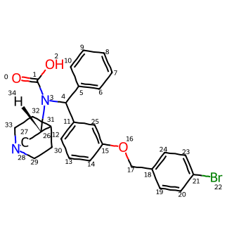 O=C(O)N(C(c1ccccc1)c1cccc(OCc2ccc(Br)cc2)c1)[C@H]1CN2CCC1CC2